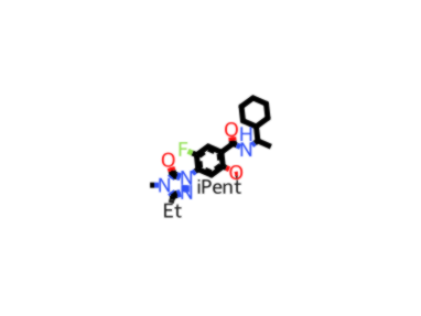 CCC[C@H](C)Oc1cc(-n2nc(CC)n(C)c2=O)c(F)cc1C(=O)NC(C)C1CCCCC1